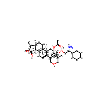 CC(=O)O[C@@H]1C[C@]23COC[C@](C)([C@@H]2CC[C@H]2C3=CC[C@@]3(C)[C@H](C(=O)O)[C@@](C)([C@H](C)C(C)C)CC[C@]23C)[C@H]1OCC(N)C1CCCCC1